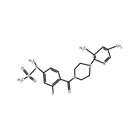 Cc1cnc(N2CCN(C(=O)c3ccc(N(C)S(C)(=O)=O)cc3F)CC2)c(C)c1